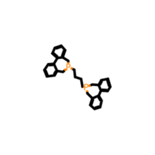 c1ccc2c(c1)CP(CCCCP1Cc3ccccc3-c3ccccc3C1)Cc1ccccc1-2